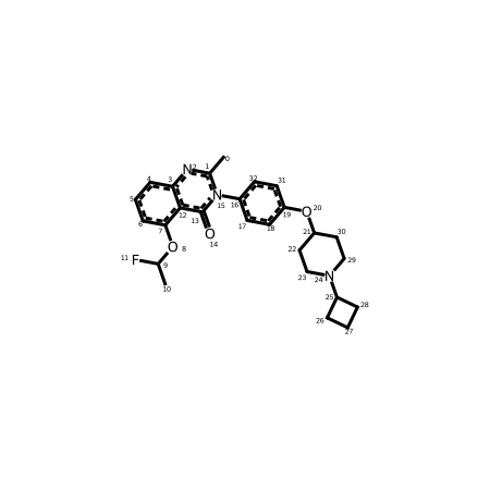 Cc1nc2cccc(OC(C)F)c2c(=O)n1-c1ccc(OC2CCN(C3CCC3)CC2)cc1